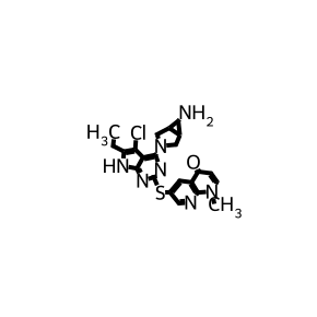 CCc1[nH]c2nc(Sc3cnc4c(c3)c(=O)ccn4C)nc(N3CC4C(N)C4C3)c2c1Cl